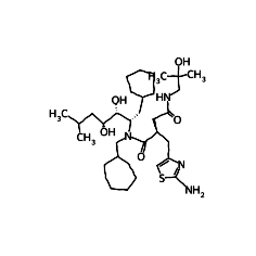 CC(C)C[C@H](O)[C@H](O)[C@H](CC1CCCCC1)N(CC1CCCCCC1)C(=O)[C@@H](CC(=O)NCC(C)(C)O)Cc1csc(N)n1